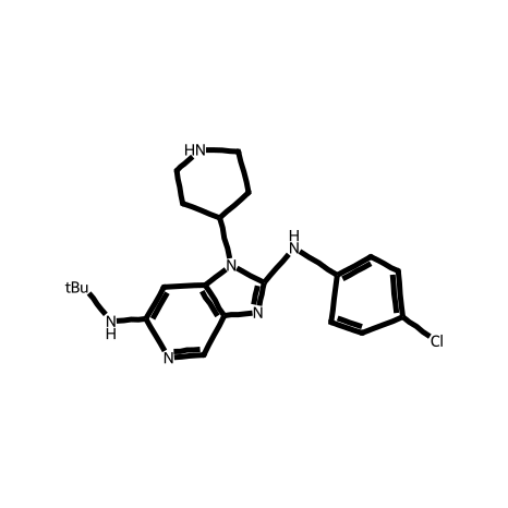 CC(C)(C)Nc1cc2c(cn1)nc(Nc1ccc(Cl)cc1)n2C1CCNCC1